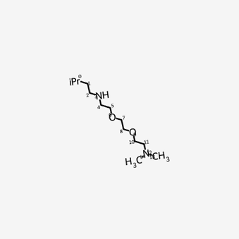 CC(C)CCNCCOCCOCCN(C)C